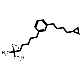 CC(C)(CCCCCc1cccc(CCCCC2CC2)c1)C(=O)O